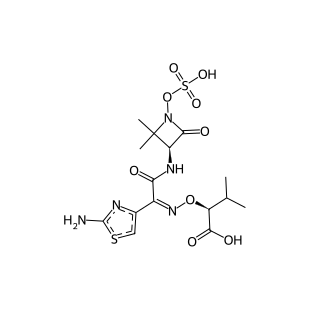 CC(C)[C@H](O/N=C(\C(=O)N[C@@H]1C(=O)N(OS(=O)(=O)O)C1(C)C)c1csc(N)n1)C(=O)O